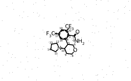 NC(=O)c1c(C2COCCC2N2CCCC2)cc(C(F)(F)F)cc1C(F)(F)F